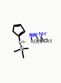 CCCCCCCC[NH-].CCCCCCCC[NH-].CCCCCCCC[NH-].C[Si](C)(C)[V+3][C]1=CC=CC1